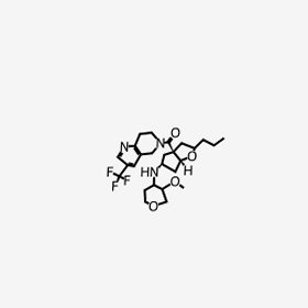 CCCC1C[C@@]2(C(=O)N3CCc4ncc(C(F)(F)F)cc4C3)C[C@H](NC3CCOCC3OC)C[C@H]2O1